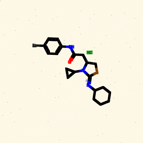 CCc1ccc(NC(=O)CC2CS/C(=N\C3CCCCC3)N2C2CC2)cc1.Cl